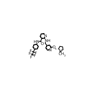 CN1CCC[C@H]1COc1cc(CNc2ncccc2C(=O)Nc2ccc(C(F)(F)C(F)(F)F)cc2)ccn1